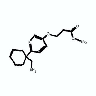 CC(C)(C)OC(=O)CCOc1ccc(C2(CN)CCCCC2)nc1